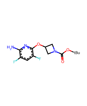 CC(C)(C)OC(=O)N1CC(Oc2nc(N)c(F)cc2F)C1